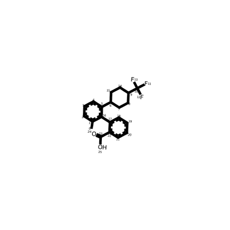 Cc1cccc(C2CCC(C(F)(F)F)CC2)c1-c1ccccc1C(=O)O